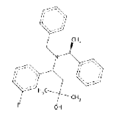 C[C@@H](c1ccccc1)N(Cc1ccccc1)C(CC(C)(C)O)c1cccc(F)c1